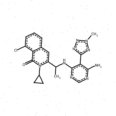 CC(Nc1ncnc(N)c1-c1nnn(C)n1)c1cc2cccc(Cl)c2c(=O)n1C1CC1